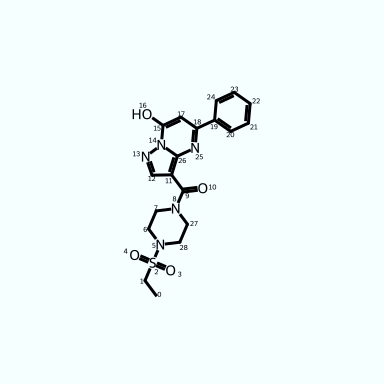 CCS(=O)(=O)N1CCN(C(=O)c2cnn3c(O)cc(-c4ccccc4)nc23)CC1